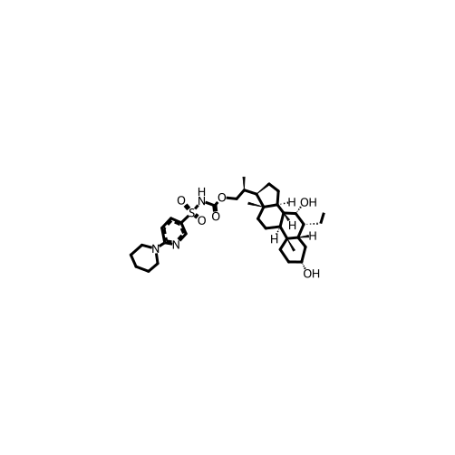 CC[C@H]1[C@@H](O)[C@@H]2[C@H](CC[C@]3(C)[C@@H]([C@H](C)COC(=O)NS(=O)(=O)c4ccc(N5CCCCC5)nc4)CC[C@@H]23)[C@@]2(C)CC[C@@H](O)C[C@@H]12